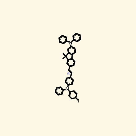 CC1(C)c2cc(/C=C/c3ccc(N(C4=CCC(I)C=C4)c4ccccc4)cc3)ccc2-c2ccc(N(c3ccccc3)c3ccccc3)cc21